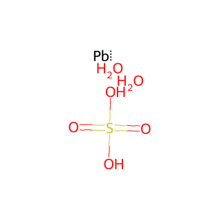 O.O.O=S(=O)(O)O.[Pb]